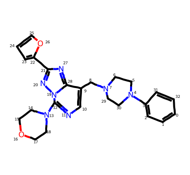 c1ccc(N2CCN(Cc3cnc(N4CCOCC4)n4nc(-c5ccco5)nc34)CC2)cc1